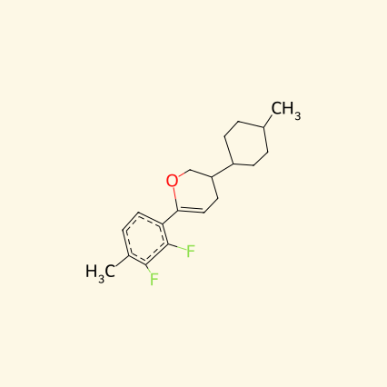 Cc1ccc(C2=CCC(C3CCC(C)CC3)CO2)c(F)c1F